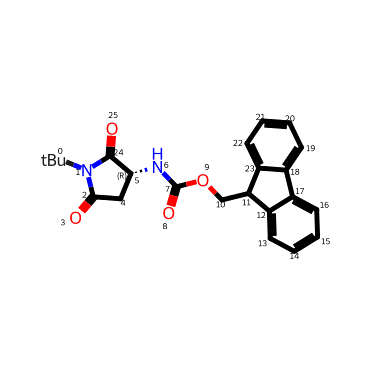 CC(C)(C)N1C(=O)C[C@@H](NC(=O)OCC2c3ccccc3-c3ccccc32)C1=O